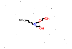 CCCCCCCCCCCCN(CCO)CCOCCO